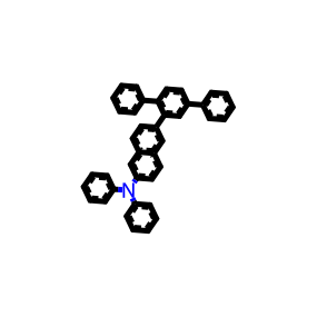 c1ccc(-c2ccc(-c3ccccc3)c(-c3ccc4cc(N(c5ccccc5)c5ccccc5)ccc4c3)c2)cc1